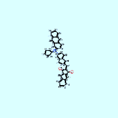 O=C1C(=Cc2ccc3cc(N(c4ccccc4)c4ccc5cc6ccccc6cc5c4)ccc3c2)C(=O)c2cc3ccccc3cc21